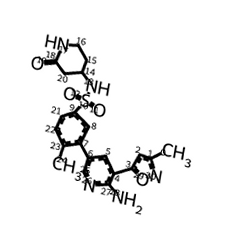 Cc1cc(-c2cc(-c3cc(S(=O)(=O)NC4CCNC(=O)C4)ccc3C)cnc2N)on1